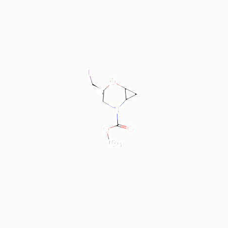 CC(C)(C)OC(=O)N1C[C@@H](CI)OC2CC21